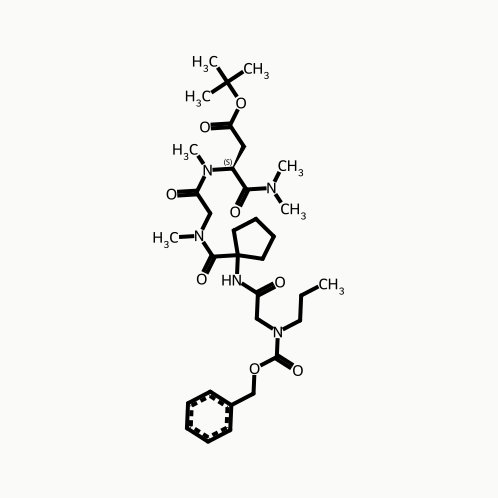 CCCN(CC(=O)NC1(C(=O)N(C)CC(=O)N(C)[C@@H](CC(=O)OC(C)(C)C)C(=O)N(C)C)CCCC1)C(=O)OCc1ccccc1